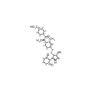 Cc1nc(CCc2c(C(C)C)n[nH]c2-c2c(Cl)cccc2Cl)ccc1N(C)C(=O)c1ccc(C(=O)O)cc1